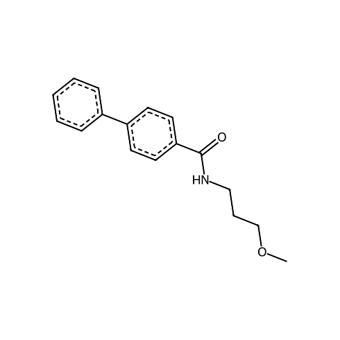 COCCCNC(=O)c1ccc(-c2ccccc2)cc1